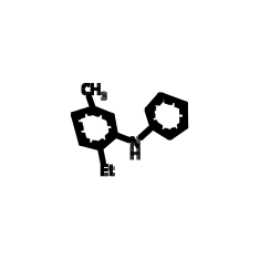 CCc1ccc(C)cc1Nc1ccccc1